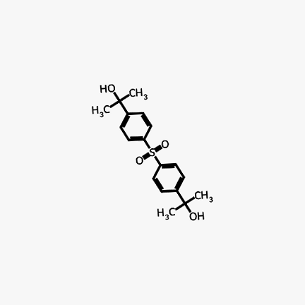 CC(C)(O)c1ccc(S(=O)(=O)c2ccc(C(C)(C)O)cc2)cc1